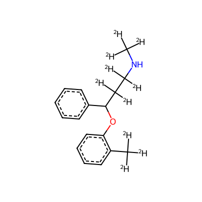 [2H]C([2H])([2H])NC([2H])([2H])C([2H])([2H])C(Oc1ccccc1C([2H])([2H])[2H])c1ccccc1